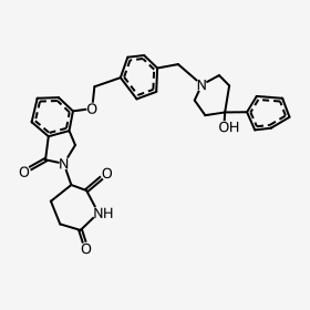 O=C1CCC(N2Cc3c(OCc4ccc(CN5CCC(O)(c6ccccc6)CC5)cc4)cccc3C2=O)C(=O)N1